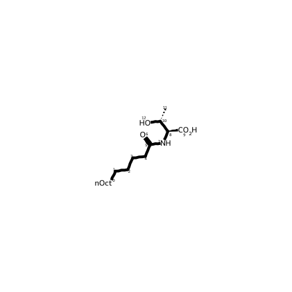 CCCCCCCCCCCCC(=O)N[C@H](C(=O)O)[C@@H](C)O